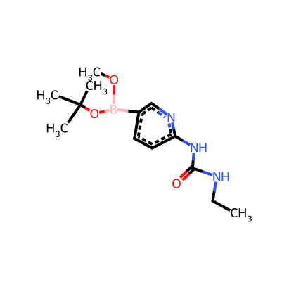 CCNC(=O)Nc1ccc(B(OC)OC(C)(C)C)cn1